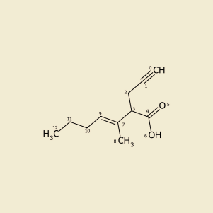 C#CCC(C(=O)O)C(C)=CCCC